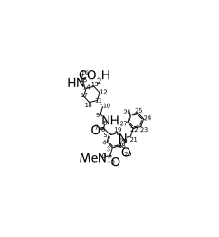 CNC(=O)c1cc(C(=O)NCC[C@H]2CC[C@@H](NC(=O)O)CC2)cn(Cc2ccccc2)c1=O